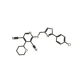 N#Cc1cnc(SCc2csc(-c3ccc(Cl)cc3)n2)c(C#N)c1C1CCCCO1